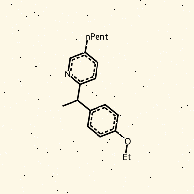 CCCCCc1ccc(C(C)c2ccc(OCC)cc2)nc1